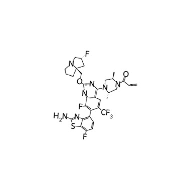 C=CC(=O)N1C[C@H](C)N(c2nc(OC[C@@]34CCCN3C[C@H](F)C4)nc3c(F)c(-c4ccc(F)c5sc(N)nc45)c(C(F)(F)F)cc23)C[C@H]1C